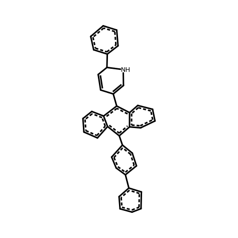 C1=CC(c2ccccc2)NC=C1c1c2ccccc2c(-c2ccc(-c3ccccc3)cc2)c2ccccc12